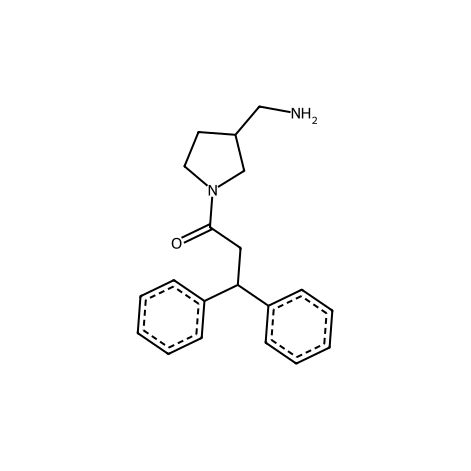 NCC1CCN(C(=O)CC(c2ccccc2)c2ccccc2)C1